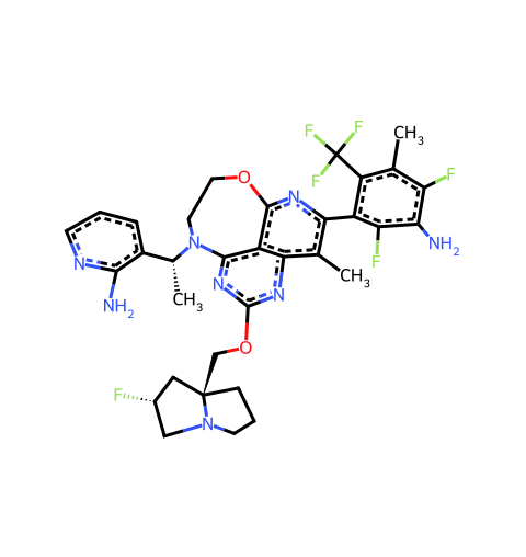 Cc1c(F)c(N)c(F)c(-c2nc3c4c(nc(OC[C@@]56CCCN5C[C@H](F)C6)nc4c2C)N([C@H](C)c2cccnc2N)CCO3)c1C(F)(F)F